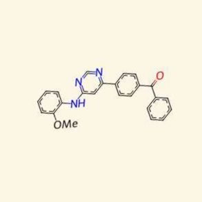 COc1ccccc1Nc1cc(-c2ccc(C(=O)c3ccccc3)cc2)ncn1